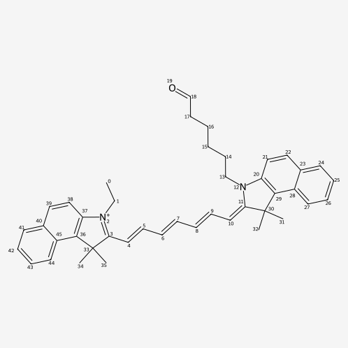 CC[N+]1=C(/C=C/C=C/C=C/C=C2\N(CCCCCC=O)c3ccc4ccccc4c3C2(C)C)C(C)(C)c2c1ccc1ccccc21